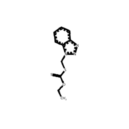 CCOC(=S)SCn1nnc2ccccc21